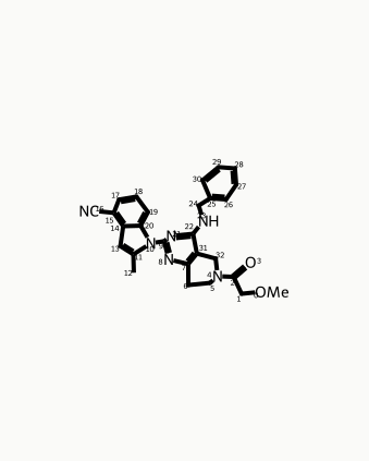 COCC(=O)N1CCc2nc(-n3c(C)cc4c(C#N)cccc43)nc(NCc3ccccc3)c2C1